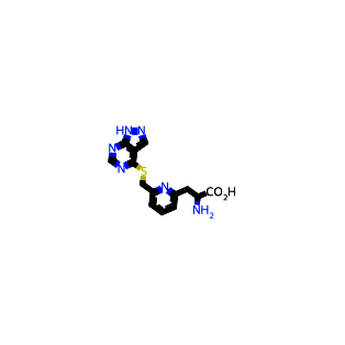 NC(Cc1cccc(CSc2ncnc3[nH]ncc23)n1)C(=O)O